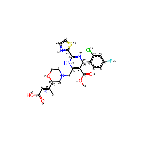 COC(=O)C1=C(CN2CCO[C@H](/C(C)=C/C(=O)O)C2)NC(c2nccs2)=N[C@H]1c1ccc(F)cc1Cl